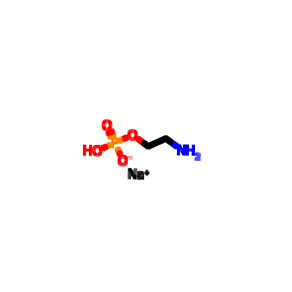 NCCOP(=O)([O-])O.[Na+]